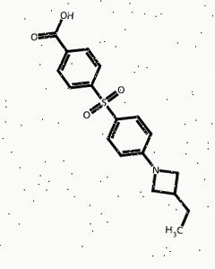 CCC1CN(c2ccc(S(=O)(=O)c3ccc(C(=O)O)cc3)cc2)C1